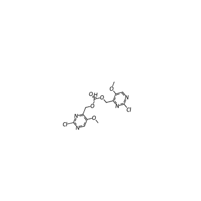 COc1cnc(Cl)nc1CO[PH](=O)OCc1nc(Cl)ncc1OC